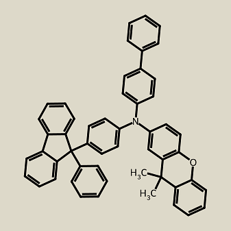 CC1(C)c2ccccc2Oc2ccc(N(c3ccc(-c4ccccc4)cc3)c3ccc(C4(c5ccccc5)c5ccccc5-c5ccccc54)cc3)cc21